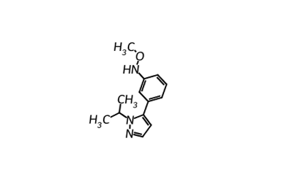 CONc1cccc(-c2ccnn2C(C)C)c1